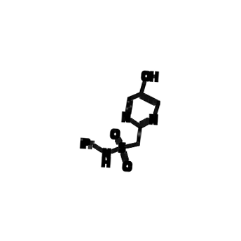 CC(C)NS(=O)(=O)Cc1ncc(O)cn1